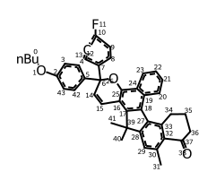 CCCCOc1ccc(C2(c3ccc(F)cc3)C=Cc3c4c(c5ccccc5c3O2)-c2c(cc(C)c3c2CCCC3=O)C4(C)C)cc1